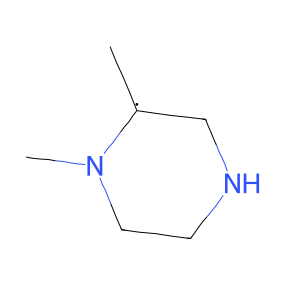 C[C]1CNCCN1C